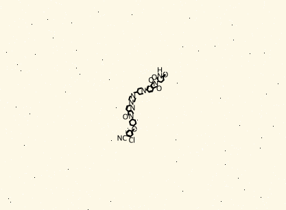 N#Cc1ccc(O[C@H]2CC[C@H](N3Cc4nc(N5CCN(CC6CCN(c7ccc8c(c7)C(=O)N(C7CCC(=O)NC7=O)C8=O)CC6)CC5)ccc4C3=O)CC2)cc1Cl